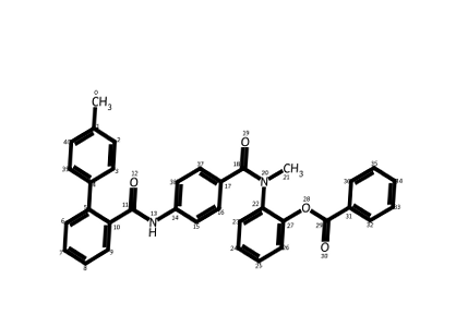 Cc1ccc(-c2ccccc2C(=O)Nc2ccc(C(=O)N(C)c3ccccc3OC(=O)c3ccccc3)cc2)cc1